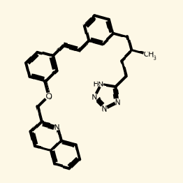 CC(CCc1nnn[nH]1)Cc1cccc(C=Cc2cccc(OCc3ccc4ccccc4n3)c2)c1